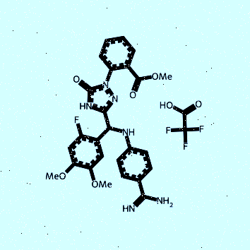 COC(=O)c1ccccc1-n1nc(C(Nc2ccc(C(=N)N)cc2)c2cc(OC)c(OC)cc2F)[nH]c1=O.O=C(O)C(F)(F)F